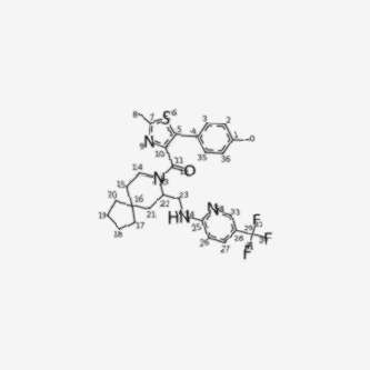 Cc1ccc(-c2sc(C)nc2C(=O)N2CCC3(CCCC3)CC2CNc2ccc(C(F)(F)F)cn2)cc1